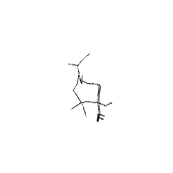 CC(C)N1CC(C)(C)C(C)(F)C1